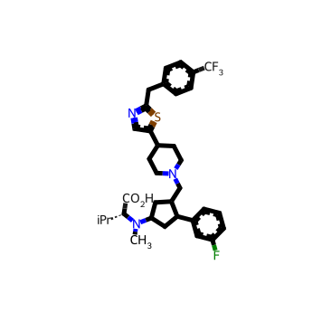 CC(C)[C@H](C(=O)O)N(C)C1CC(CN2CCC(c3cnc(Cc4ccc(C(F)(F)F)cc4)s3)CC2)C(c2cccc(F)c2)C1